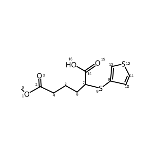 COC(=O)CCCC(Sc1ccsc1)C(=O)O